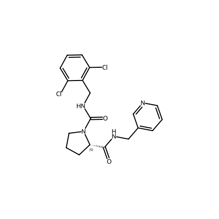 O=C(NCc1cccnc1)[C@@H]1CCCN1C(=O)NCc1c(Cl)cccc1Cl